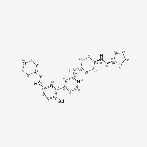 Clc1ccc(NCC2CCOCC2)nc1-c1ccnc(N[C@H]2CC[C@H](NC[C@H]3CCCO3)CC2)c1